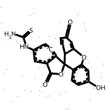 NC(=S)Nc1ccc2c(c1)C(=O)OC21c2ccc(O)cc2OC2=CC(=O)C=CC21